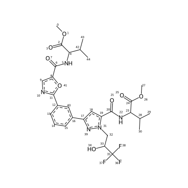 COC(=O)C(NC(=O)c1cnc(-c2cccc(-c3cc(C(=O)NC(C(=O)OC)C(C)C)n(CC(O)C(F)(F)F)n3)c2)o1)C(C)C